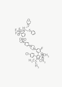 Cc1c(S(C)(=O)=O)c(-c2cc(F)cc(N3CCN(c4ccc(N5CCO[P@]5(=O)c5ccc(N[C@H](CCN6CCOCC6)CSc6ccccc6)c(S(=O)(=O)C(F)(F)F)c5)cc4)CC3)c2)c(-c2ccc(Cl)cc2)n1C(C)C